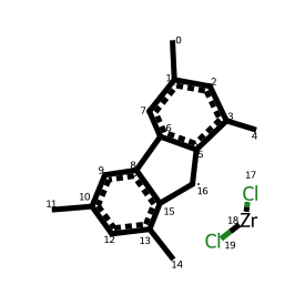 Cc1cc(C)c2c(c1)-c1cc(C)cc(C)c1[CH]2.[Cl][Zr][Cl]